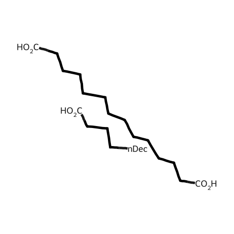 CCCCCCCCCCCCCC(=O)O.O=C(O)CCCCCCCCCCCCC(=O)O